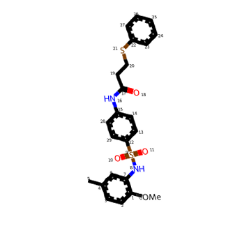 COc1ccc(C)cc1NS(=O)(=O)c1ccc(NC(=O)CCSc2ccccc2)cc1